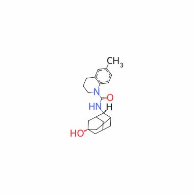 Cc1ccc2c(c1)CCCN2C(=O)N[C@H]1C2CC3CC1C[C@](O)(C3)C2